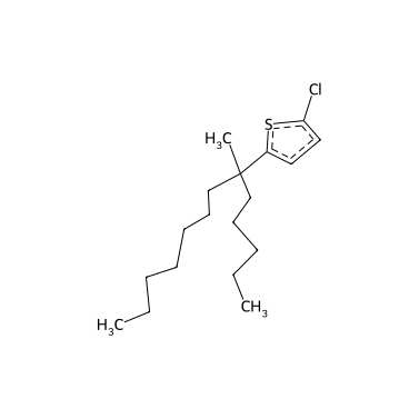 CCCCCCCC(C)(CCCCC)c1ccc(Cl)s1